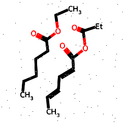 C/C=C/C=C/C(=O)OC(=O)CC.CCCCCC(=O)OCC